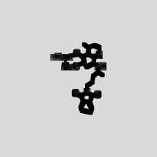 CCCCCCCOc1c(OC)cc(NC(C)CCCN2C(=O)c3ccccc3C2=O)c2nccc(C)c12